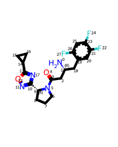 N[C@@H](CC(=O)N1CCC[C@@H]1c1noc(C2CC2)n1)Cc1cc(F)c(F)cc1F